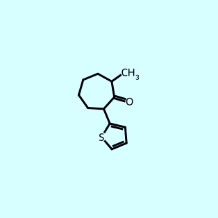 CC1CCCCC(c2cccs2)C1=O